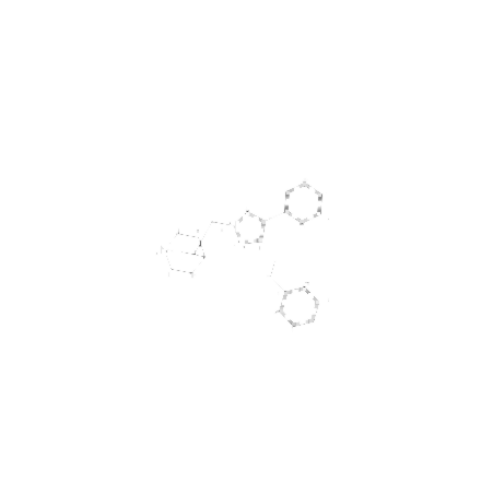 Cl.Cl.c1ccc(COc2nn(CC3CN4CCC3CC4)cc2-c2ccccc2)cc1